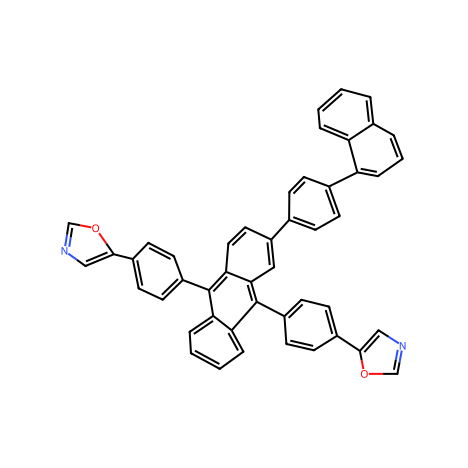 c1ccc2c(-c3ccc(-c4ccc5c(-c6ccc(-c7cnco7)cc6)c6ccccc6c(-c6ccc(-c7cnco7)cc6)c5c4)cc3)cccc2c1